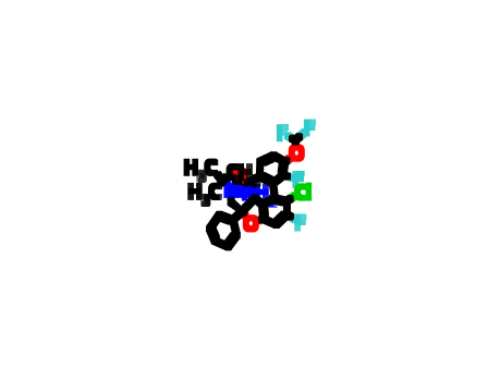 CC(C)(C)NC[C@@]1(c2ccccc2)Cc2c(cc(F)c(Cl)c2-c2c(C(N)=O)ccc(OC(F)F)c2F)O1